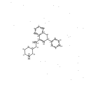 c1cc(C2Cc3nccnc3C(NCC3CCCNC3)=N2)ccn1